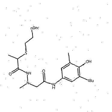 CCCCCCCCCCCCSC(C)C(=O)NN(C)CC(=O)Nc1cc(C)c(O)c(C(C)(C)C)c1